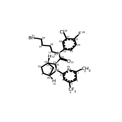 Cc1cc(C(F)(F)F)cc(N2[C@@H]3CC[C@@H](C3)[C@H]2C(=O)N(CCCCBr)c2ccc(F)c(Cl)c2)n1